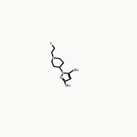 CC(C)(C)c1cc(C(C)(C)C)n(C2CCN(CCF)CC2)n1